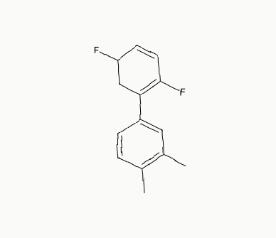 Cc1ccc(C2=C(F)C=CC(F)C2)cc1C